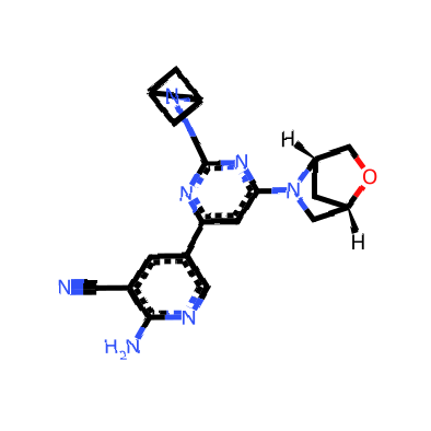 N#Cc1cc(-c2cc(N3C[C@@H]4C[C@H]3CO4)nc(N3CC4CC3C4)n2)cnc1N